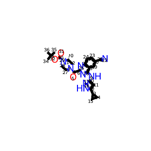 C[C@@H]1CN(C(=O)c2nc(Nc3cc(C4CC4)[nH]n3)c3cc(C#N)ccc3n2)CCN1C(=O)OC(C)(C)C